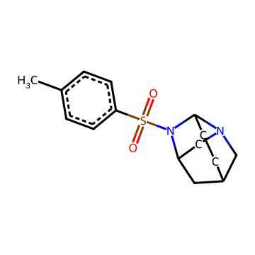 Cc1ccc(S(=O)(=O)N2C3CC4CCC2N(C4)C3)cc1